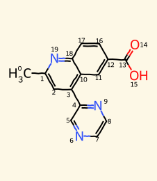 Cc1cc(-c2cnccn2)c2cc(C(=O)O)ccc2n1